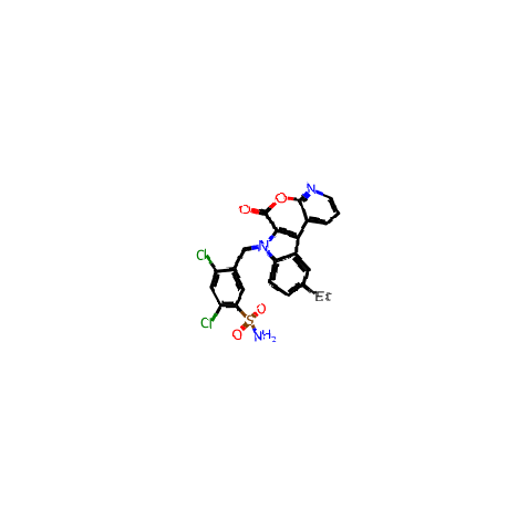 CCc1ccc2c(c1)c1c3cccnc3oc(=O)c1n2Cc1cc(S(N)(=O)=O)c(Cl)cc1Cl